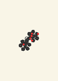 c1ccc(N(c2ccccc2)c2cc3c4c(c2)N(c2ccccc2)c2cc5c(cc2B4c2ccccc2N3c2ccccc2)oc2cc3c(cc25)N(c2ccccc2)c2cc(N(c4ccccc4)c4ccccc4)cc4c2B3c2ccccc2N4c2ccccc2)cc1